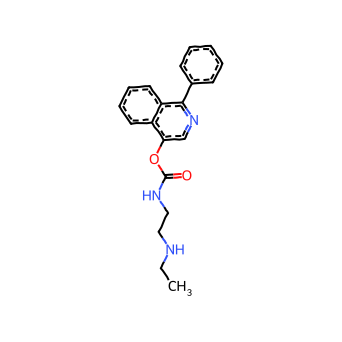 CCNCCNC(=O)Oc1cnc(-c2ccccc2)c2ccccc12